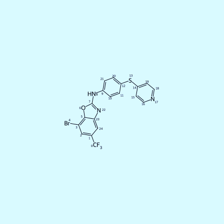 FC(F)(F)c1cc(Br)c2oc(Nc3ccc(Sc4ccncc4)cc3)nc2c1